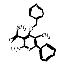 Cc1c(-c2ccccc2)nc(N)c(C(N)=O)c1OCc1ccccc1